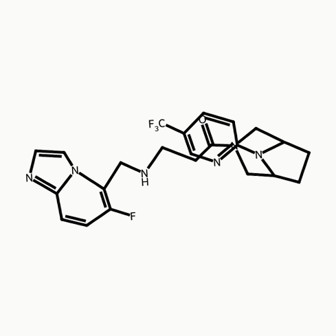 O=C(CCNCc1c(F)ccc2nccn12)N1CC2CCC(C1)N2c1ccc(C(F)(F)F)cn1